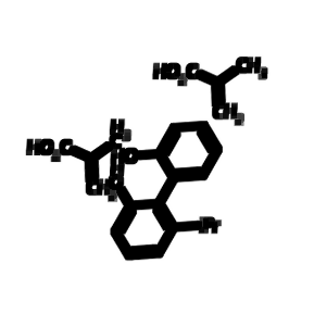 C=C(C)C(=O)O.C=C(C)C(=O)O.CC(C)c1cccc(O)c1-c1ccccc1O